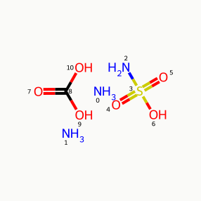 N.N.NS(=O)(=O)O.O=C(O)O